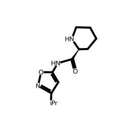 CC(C)c1cc(NC(=O)[C@@H]2CCCCN2)on1